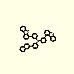 c1cc(-c2ccc3ccccc3c2)cc(N(c2cccc(-c3cccc4c3oc3ccccc34)c2)c2cccc(-c3cccc4sc5ccccc5c34)c2)c1